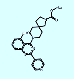 CC(C)(C)OC(=O)N1CCC2(CCN(c3nc(-c4ccncc4)nc4cncc(C=O)c34)CC2)C1